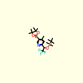 Cc1cc(C(O[Si](C)(C)C(C)(C)C)C(F)(F)F)ncc1B1OC(C)(C)C(C)(C)O1